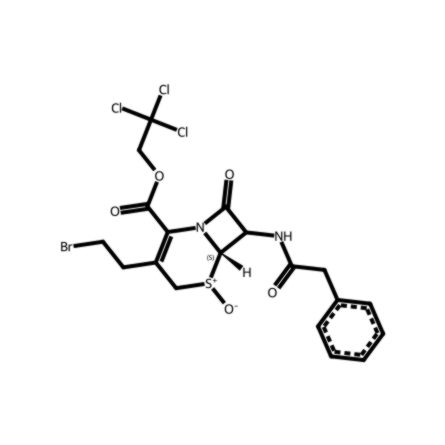 O=C(Cc1ccccc1)NC1C(=O)N2C(C(=O)OCC(Cl)(Cl)Cl)=C(CCBr)C[S+]([O-])[C@@H]12